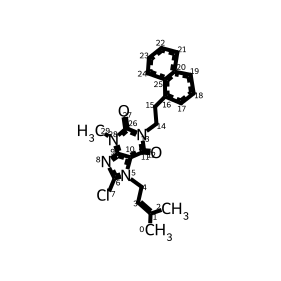 CC(C)=CCn1c(Cl)nc2c1c(=O)n(CCc1cccc3ccccc13)c(=O)n2C